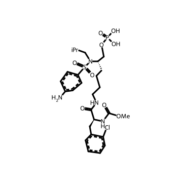 COC(=O)N[C@@H](Cc1ccccc1Cl)C(=O)NCCCC[C@@H](COP(=O)(O)O)N(CC(C)C)S(=O)(=O)c1ccc(N)cc1